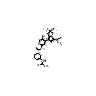 CC(=O)NC1=CCC[C@H](C(=O)Nc2cc(-c3cc([C@H](C)O)n4c3CC(C)(C)C4)c(Cl)cn2)C1